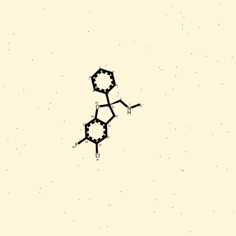 CNC[C@@]1(c2ccccc2)Cc2cc(Cl)c(F)cc2O1